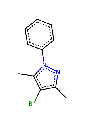 Cc1nn(-c2ccccc2)c(C)c1Br